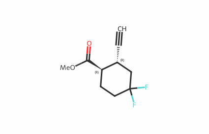 C#C[C@@H]1CC(F)(F)CC[C@H]1C(=O)OC